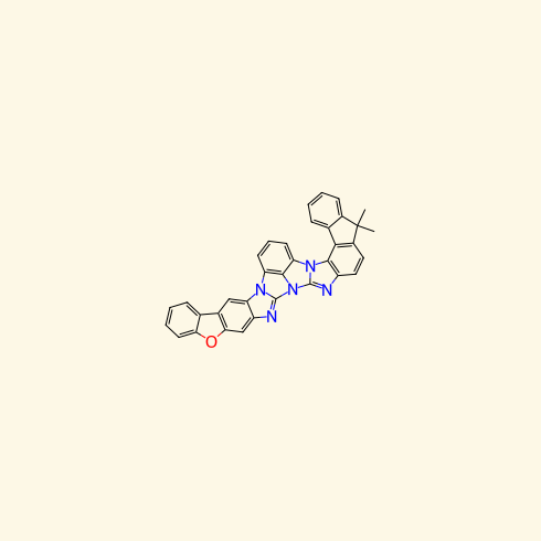 CC1(C)c2ccccc2-c2c1ccc1nc3n(c4cccc5c4n3c3nc4cc6oc7ccccc7c6cc4n53)c21